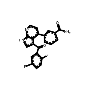 NC(=O)c1cccc(-c2ccnc3[nH]cc(C(=O)c4cc(F)ccc4F)c23)c1